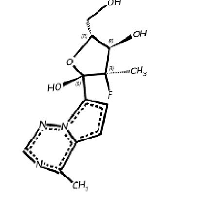 Cc1ncnn2c([C@]3(O)O[C@H](CO)[C@@H](O)[C@@]3(C)F)ccc12